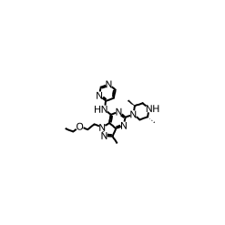 CCOCCn1nc(C)c2nc(N3C[C@@H](C)NC[C@@H]3C)nc(Nc3ccncn3)c21